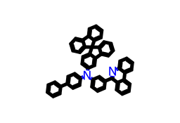 c1ccc(-c2ccc(N(c3cccc(-c4nc5ccccc5c5ccccc45)c3)c3ccc4c(c3)-c3ccccc3C43c4ccccc4-c4ccccc43)cc2)cc1